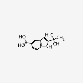 CC(C)(C)c1cc2cc(B(O)O)ccc2[nH]1